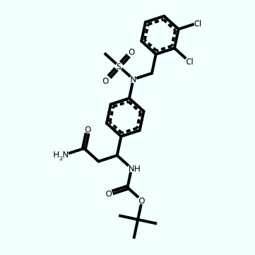 CC(C)(C)OC(=O)NC(CC(N)=O)c1ccc(N(Cc2cccc(Cl)c2Cl)S(C)(=O)=O)cc1